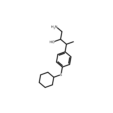 CC(c1ccc(SC2CCCCC2)cc1)C(O)CN